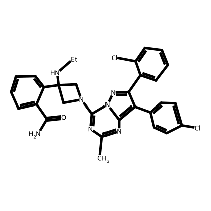 CCNC1(c2ccccc2C(N)=O)CN(c2nc(C)nc3c(-c4ccc(Cl)cc4)c(-c4ccccc4Cl)nn23)C1